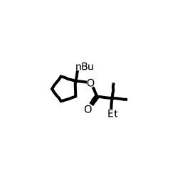 CCCCC1(OC(=O)C(C)(C)CC)CCCC1